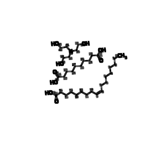 CCCCCCCC/C=C\CCCCCCCC(=O)O.O=C(O)CCCCCCCCC(=O)O.OCCN(CCO)CCO